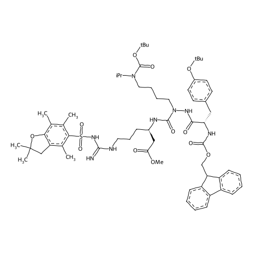 COC(=O)C[C@@H](CCCNC(=N)NS(=O)(=O)c1c(C)c(C)c2c(c1C)CC(C)(C)O2)NC(=O)N(CCCCN(C(=O)OC(C)(C)C)C(C)C)NC(=O)[C@H](Cc1ccc(OC(C)(C)C)cc1)NC(=O)OCC1c2ccccc2-c2ccccc21